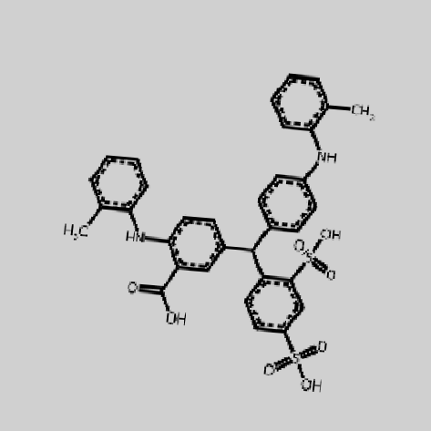 Cc1ccccc1Nc1ccc(C(c2ccc(Nc3ccccc3C)c(C(=O)O)c2)c2ccc(S(=O)(=O)O)cc2S(=O)(=O)O)cc1